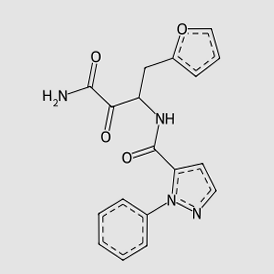 NC(=O)C(=O)C(Cc1ccco1)NC(=O)c1ccnn1-c1ccccc1